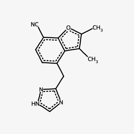 Cc1oc2c(C#N)ccc(Cc3nc[nH]n3)c2c1C